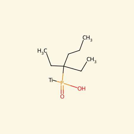 CCCC(CC)(CC)[P](=O)(O)[Ti]